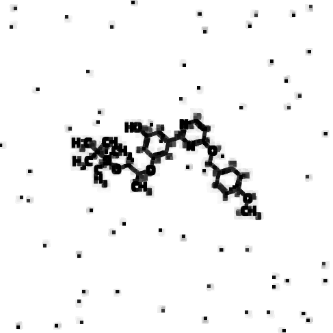 COc1ccc(COc2ccnc(-c3cc(O)cc(OC(C)CO[Si](C)(C)C(C)(C)C)c3)n2)cc1